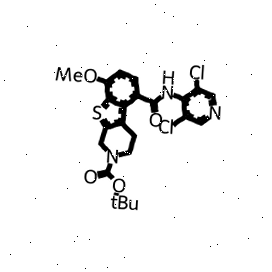 COc1ccc(C(=O)Nc2c(Cl)cncc2Cl)c2c3c(sc12)CN(C(=O)OC(C)(C)C)CC3